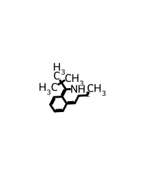 CCC/C=c1/cccc/c1=C(/N)C(C)(C)C